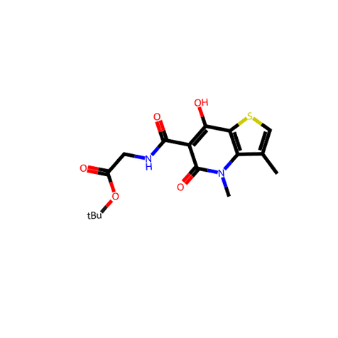 Cc1csc2c(O)c(C(=O)NCC(=O)OC(C)(C)C)c(=O)n(C)c12